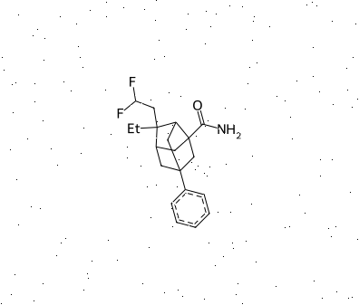 CCC1(CC(F)F)C2CC3(c4ccccc4)CC1C(C(N)=O)(C2)C3